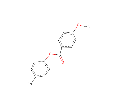 [C-]#[N+]c1ccc(OC(=O)c2ccc(OCCCC)cc2)cc1